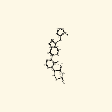 Cn1cncc1Cn1ncc2cc(-c3cccc(C4CCC(=O)NC4=O)c3Cl)ccc21